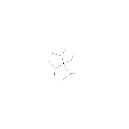 CN(C)C(C[SiH3])(N(C)C)N(C)C